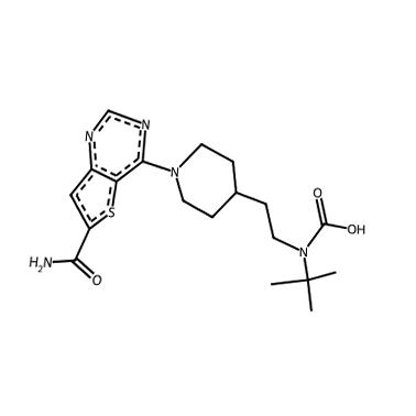 CC(C)(C)N(CCC1CCN(c2ncnc3cc(C(N)=O)sc23)CC1)C(=O)O